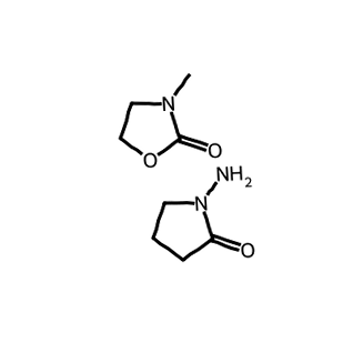 CN1CCOC1=O.NN1CCCC1=O